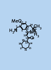 COc1cc2c(cc1CN)/C(=C/C(=O)C1CCCCCC1)NC(C)(C)C2